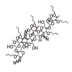 CCCCOC1[C@@H](OC(CO)OC(C(=O)OC)[C@H](O[C@@H]2OC(CO)[C@H](OC(CO)OC(C(=O)OC)[C@H](O[C@@H]3OC(CO)[C@H](OC(CO)OC(C(=O)OC)[C@@H](OCCCC)[C@H](C)OCCCC)C(OCCCC)[C@@H]3N=[N+]=[N-])[C@H](C)OCCCC)C(OCCCC)[C@@H]2N=[N+]=[N-])[C@H](C)OCCCC)C(CO)OC[C@H]1N=[N+]=[N-]